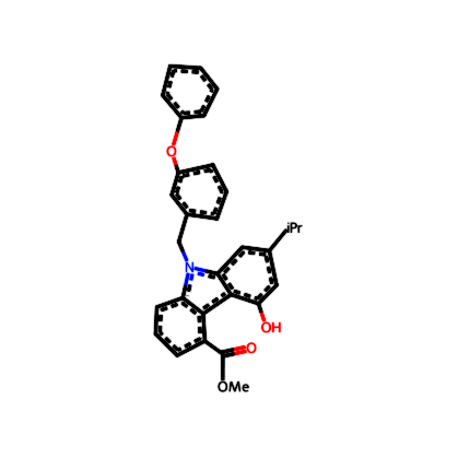 COC(=O)c1cccc2c1c1c(O)cc(C(C)C)cc1n2Cc1cccc(Oc2ccccc2)c1